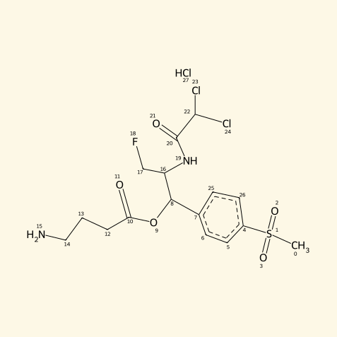 CS(=O)(=O)c1ccc(C(OC(=O)CCCN)C(CF)NC(=O)C(Cl)Cl)cc1.Cl